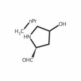 CCCC.O=C[C@@H]1CC(O)CN1